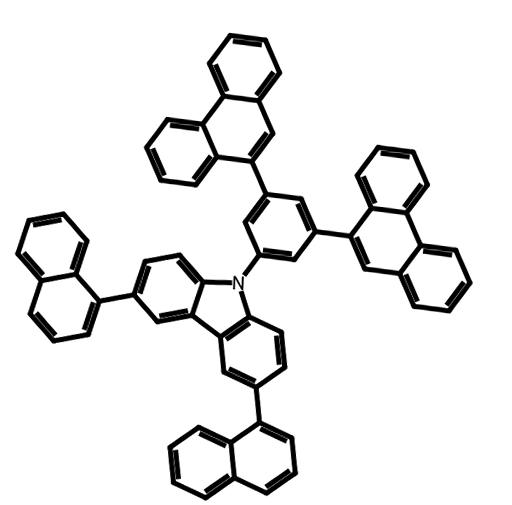 c1ccc2c(-c3ccc4c(c3)c3cc(-c5cccc6ccccc56)ccc3n4-c3cc(-c4cc5ccccc5c5ccccc45)cc(-c4cc5ccccc5c5ccccc45)c3)cccc2c1